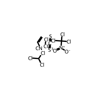 C=CC#N.ClC(Cl)(Cl)Cl.ClC(Cl)Cl.O=[N+]([O-])C(Cl)(Cl)Cl.S=C=S